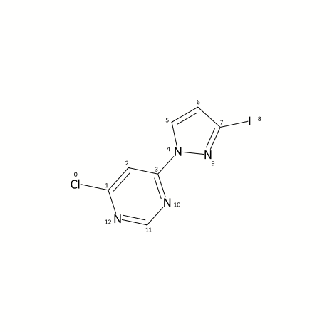 Clc1cc(-n2ccc(I)n2)ncn1